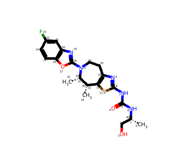 C[C@H](CO)NC(=O)Nc1nc2c(s1)[C@H](C)[C@H](C)N(c1nc3cc(F)ccc3o1)CC2